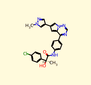 Cn1cc(-c2cc3c(-c4ccc(NC(=O)[C@@](C)(O)c5ccc(Cl)cc5)cc4)ncnn3c2)cn1